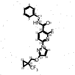 O=C(NSc1ccccc1)c1ccc(-n2ccc(OCC3(C(F)(F)F)CC3)n2)nc1F